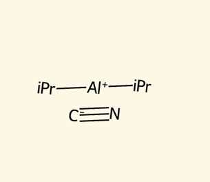 C[CH](C)[Al+][CH](C)C.[C-]#N